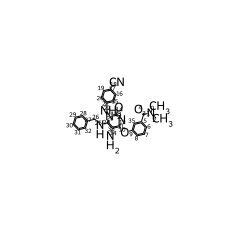 CN(C)C(=O)c1cccc(Oc2nc(Oc3cc(C#N)ccc3N)nc(NCc3ccccc3)c2N)c1